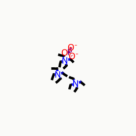 CC[N+](CC)(CC)CC.CC[N+](CC)(CC)CC.CC[N+](CC)(CC)CC.[O-]P([O-])[O-]